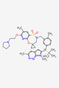 Cc1cc2cc([C@H](c3ccc(C)c(CN4CC5(CC5)Oc5nc(OCCN6CCCC6)c(C)cc5S4(=O)=O)c3)C(C)(C)C(=O)O)n(C)c2nn1